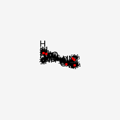 O=S(=O)(c1ccc(N2C[C@@H]3CCN[C@@H]3C2)c(-c2cc3ccccc3[nH]2)c1)N1CC(C2CN(S(=O)(=O)c3ccc(N4CCC5(CCCN5)C4)c(-c4cc5ccccc5[nH]4)c3)C2)C1